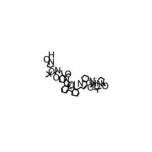 COc1nc(-c2cccc(-c3cccc(-c4ccc5c(n4)CCC[C@@H]5N(C[C@@H]4CCC(=O)N4)C(=O)OC(C)(C)C)c3Cl)c2Cl)ccc1CN(C[C@@H]1CCC(=O)N1)C(=O)OC(C)(C)C